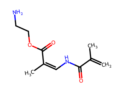 C=C(C)C(=O)NC=C(C)C(=O)OCCN